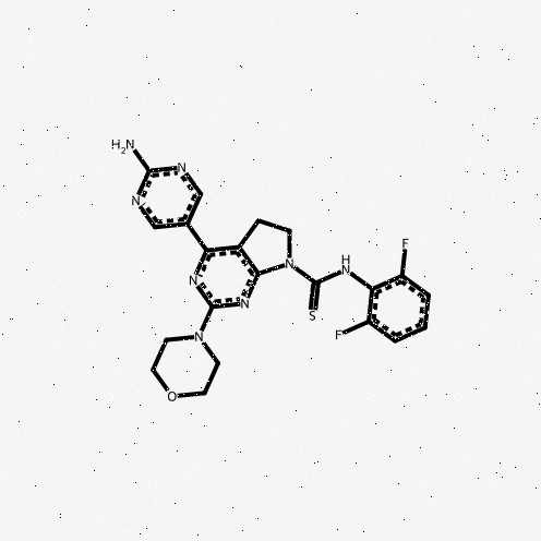 Nc1ncc(-c2nc(N3CCOCC3)nc3c2CCN3C(=S)Nc2c(F)cccc2F)cn1